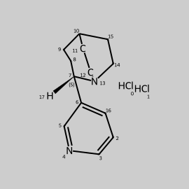 Cl.Cl.c1cncc([C@@H]2CCC3CCN2CC3)c1